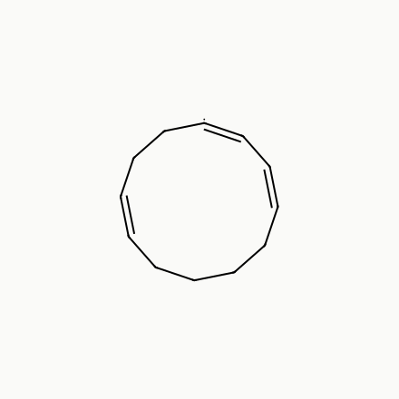 [C]1=CC=CCCCCC=CCC1